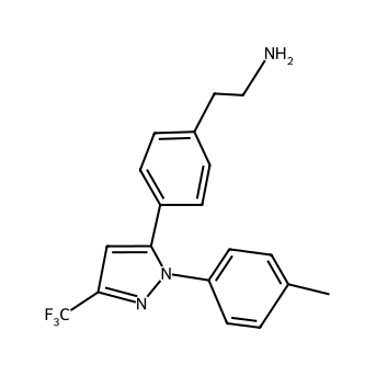 Cc1ccc(-n2nc(C(F)(F)F)cc2-c2ccc(CCN)cc2)cc1